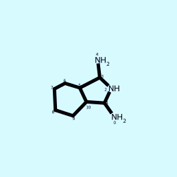 NC1NC(N)C2CCCCC12